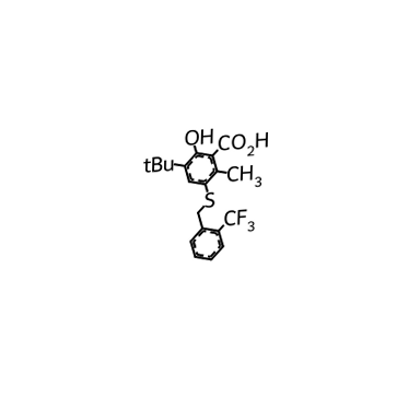 Cc1c(SCc2ccccc2C(F)(F)F)cc(C(C)(C)C)c(O)c1C(=O)O